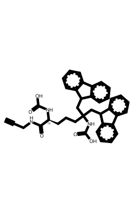 C#CCNC(=O)[C@H](CCCC(CC1c2ccccc2-c2ccccc21)(CC1c2ccccc2-c2ccccc21)NC(=O)O)NC(=O)O